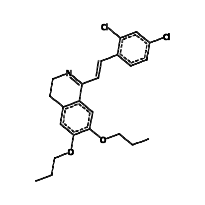 CCCOc1cc2c(cc1OCCC)C(/C=C/c1ccc(Cl)cc1Cl)=NCC2